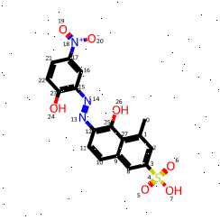 Cc1cc(S(=O)(=O)O)cc2ccc(N=Nc3cc([N+](=O)[O-])ccc3O)c(O)c12